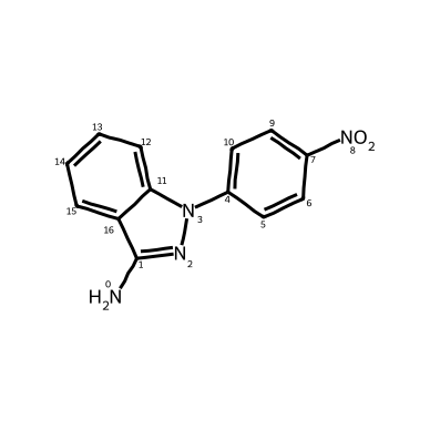 Nc1nn(-c2ccc([N+](=O)[O-])cc2)c2ccccc12